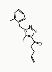 C=CCCC(=O)c1nnn(Cc2ccccc2C)c1I